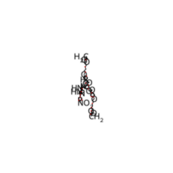 C=CC(=O)OCCCCCCOc1ccc(C(=O)Oc2ccc(OC(=O)c3ccc(OCCCCCCOC(=O)C=C)cc3)c(NC(=N)Sc3nc(-c4ccc([N+](=O)[O-])cc4)c[nH]3)c2)cc1